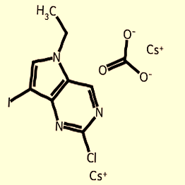 CCn1cc(I)c2nc(Cl)ncc21.O=C([O-])[O-].[Cs+].[Cs+]